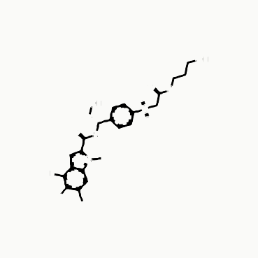 Cc1cc2c(cc(C(=O)N[C@H](CO)c3ccc(S(=O)(=O)CC(=O)OCCCO)cc3)n2C)c(F)c1F